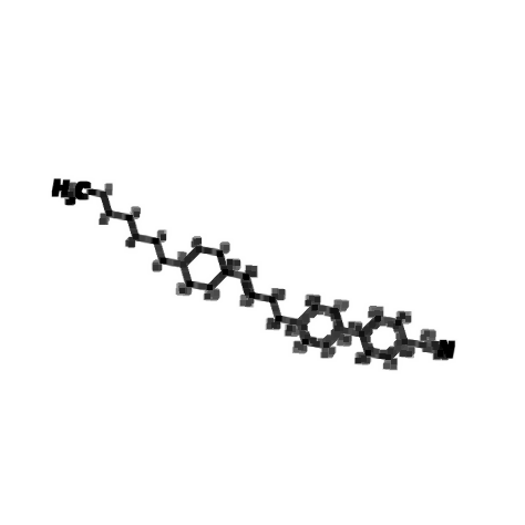 CCCCCCCC1CCC(C=CCCc2ccc(-c3ccc(C#N)cc3)cc2)CC1